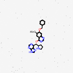 COc1cc2c(O[C@@H](c3ncnc4[nH]cnc34)C3CCCN3)ncnc2cc1OCc1ccccc1